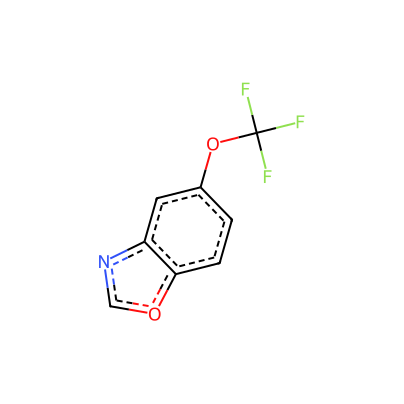 FC(F)(F)Oc1ccc2ocnc2c1